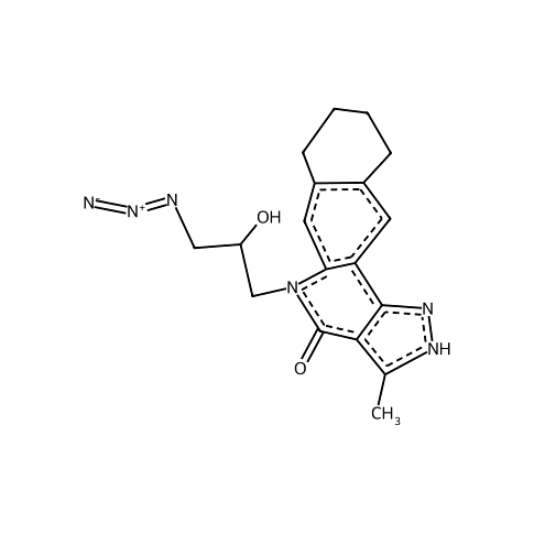 Cc1[nH]nc2c1c(=O)n(CC(O)CN=[N+]=[N-])c1cc3c(cc21)CCCC3